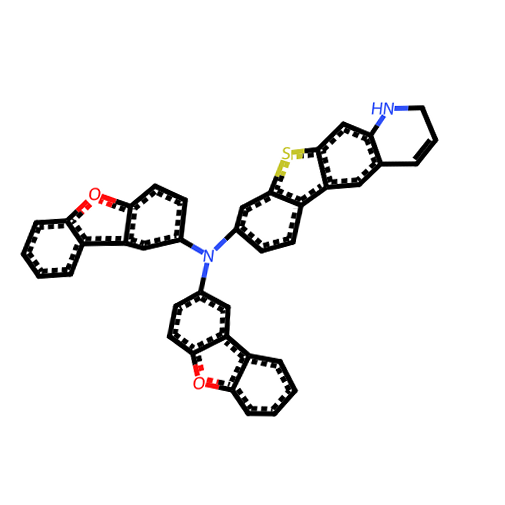 C1=Cc2cc3c(cc2NC1)sc1cc(N(c2ccc4oc5ccccc5c4c2)c2ccc4oc5ccccc5c4c2)ccc13